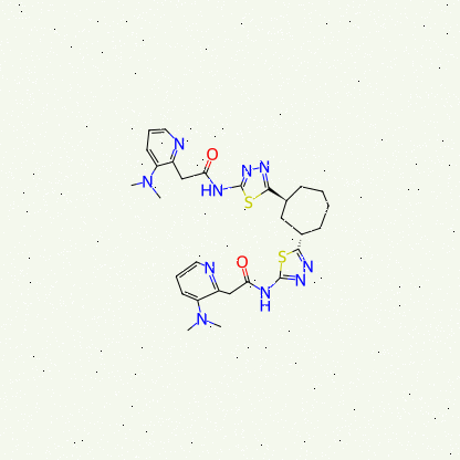 CN(C)c1cccnc1CC(=O)Nc1nnc([C@H]2CCCC[C@H](c3nnc(NC(=O)Cc4ncccc4N(C)C)s3)C2)s1